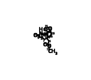 CCOC(=O)CC(Cc1cc(=O)[nH][nH]1)c1ccc2c(c1)OCO2